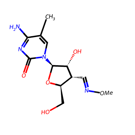 CON=C[C@H]1[C@@H](O)[C@H](n2cc(C)c(N)nc2=O)O[C@@H]1CO